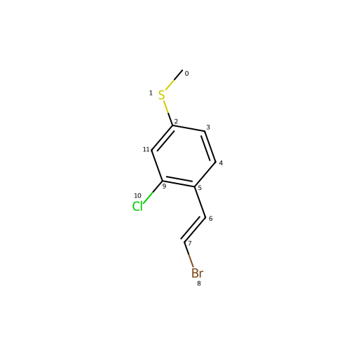 CSc1ccc(C=CBr)c(Cl)c1